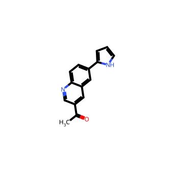 CC(=O)c1cnc2ccc(-c3ccc[nH]3)cc2c1